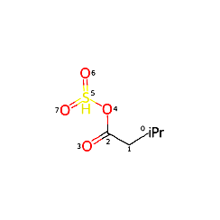 CC(C)CC(=O)O[SH](=O)=O